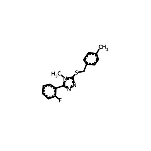 Cc1ccc(CSc2nnc(-c3ccccc3F)n2C)cc1